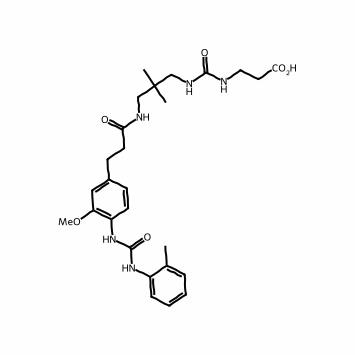 COc1cc(CCC(=O)NCC(C)(C)CNC(=O)NCCC(=O)O)ccc1NC(=O)Nc1ccccc1C